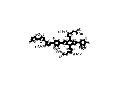 CCCCCCCCc1cc(C)sc1-c1ccc(-c2sc(-c3c(F)cc(-c4cc5c(-c6cc(CCCCCC)c(CC(CC)CCCC)s6)c6sc(-c7cc(F)c(C)c8nsnc78)cc6c(-c6cc(CCCCCC)c(CC(CC)CCCC)s6)c5s4)c4nsnc34)cc2CCCCCCCC)s1